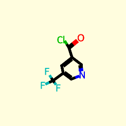 O=C(Cl)c1cncc(C(F)(F)F)c1